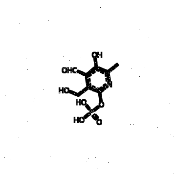 Cc1nc(OP(=O)(O)O)c(CO)c(C=O)c1O